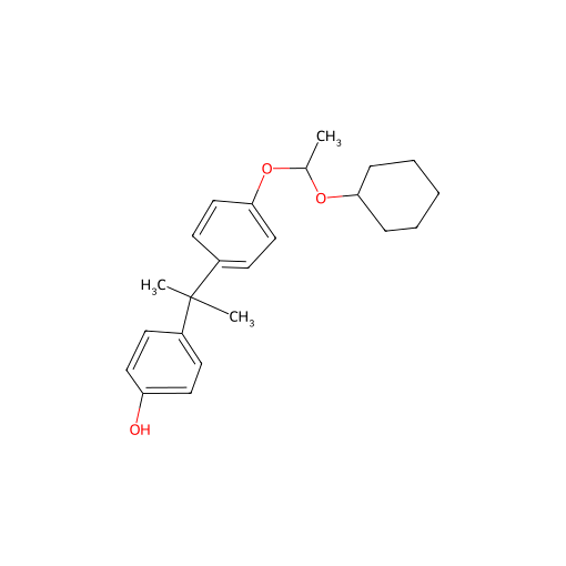 CC(Oc1ccc(C(C)(C)c2ccc(O)cc2)cc1)OC1CCCCC1